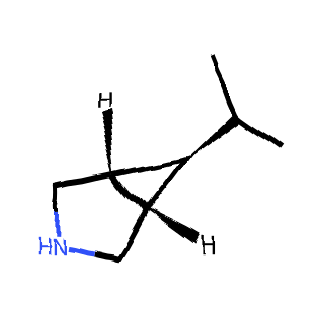 CC(C)[C@H]1[C@@H]2CNC[C@@H]21